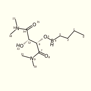 CCCCBO[C@H](C(=O)N(C)C)[C@H](O)C(=O)N(C)C